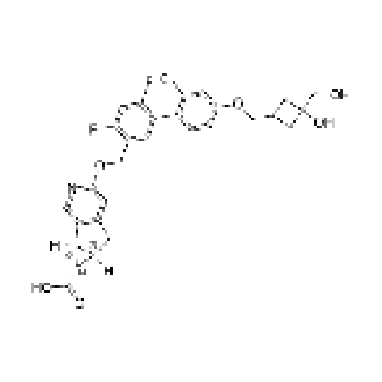 O=C(O)[C@H]1[C@@H]2Cc3cc(OCc4cc(-c5ccc(OCC6CC(O)(CO)C6)cc5Cl)c(F)cc4F)ncc3[C@@H]21